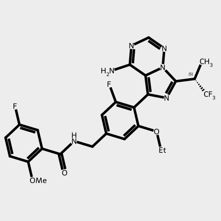 CCOc1cc(CNC(=O)c2cc(F)ccc2OC)cc(F)c1-c1nc([C@H](C)C(F)(F)F)n2ncnc(N)c12